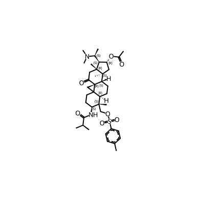 CC(=O)O[C@@H]1C[C@@]2(C)[C@@H]3CC[C@@H]4C5(CC[C@H](NC(=O)C(C)C)[C@@]4(C)COS(=O)(=O)c4ccc(C)cc4)C[C@@]35C(=O)C[C@]2(C)[C@H]1[C@H](C)N(C)C